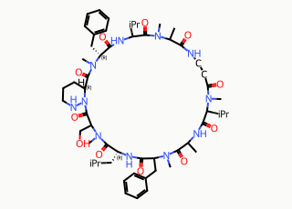 CC(C)C[C@H]1NC(=O)C(Cc2ccccc2)N(C)C(=O)C(C)NC(=O)C(C(C)C)N(C)C(=O)CCNC(=O)C(C)N(C)C(=O)C(C(C)C)NC(=O)[C@@H](Cc2ccccc2)N(C)C(=O)[C@H]2CCCNN2C(=O)C(CO)N(C)C1=O